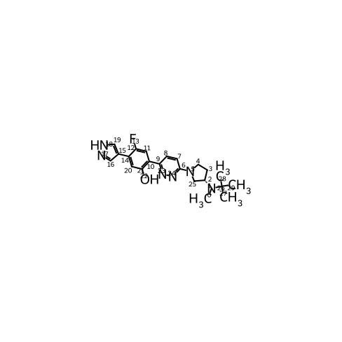 CN([C@H]1CCN(c2ccc(-c3cc(F)c(-c4cn[nH]c4)cc3O)nn2)C1)C(C)(C)C